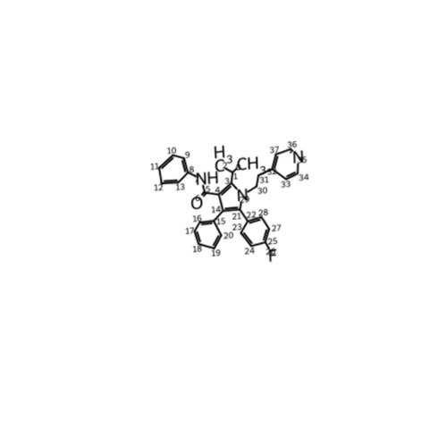 CC(C)c1c(C(=O)Nc2ccccc2)c(-c2ccccc2)c(-c2ccc(F)cc2)n1CCc1ccncc1